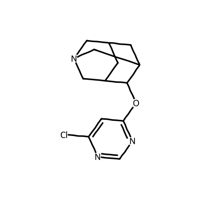 Clc1cc(OC2C3CC4CC2CN(C4)C3)ncn1